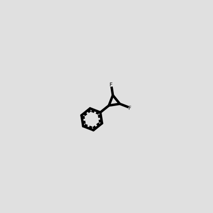 FC1C(F)C1c1ccccc1